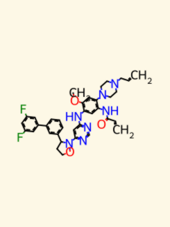 C=CCN1CCN(c2cc(OC)c(Nc3cc(N4OCCC4c4cccc(-c5cc(F)cc(F)c5)c4)ncn3)cc2NC(=O)C=C)CC1